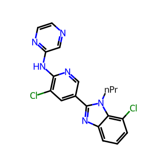 CCCn1c(-c2cnc(Nc3cnccn3)c(Cl)c2)nc2cccc(Cl)c21